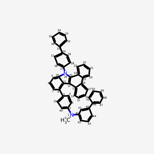 CN(c1ccc(-c2cccc3c2c2c4ccccc4c4ccccc4c2n3-c2ccc(-c3ccccc3)cc2)cc1)c1cccc(-c2ccccc2)c1